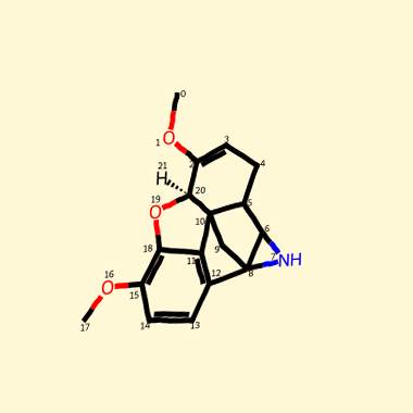 COC1=CCC2C3NC34CC23c2c4ccc(OC)c2O[C@@H]13